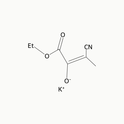 CCOC(=O)/C([O-])=C(/C)C#N.[K+]